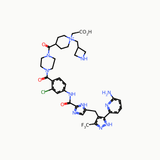 Nc1cccc(-c2[nH]nc(C(F)(F)F)c2Cc2cnc(C(=O)Nc3ccc(C(=O)N4CCN(C(=O)C5CC[N+](CC(=O)O)(CC6CNC6)CC5)CC4)c(Cl)c3)[nH]2)n1